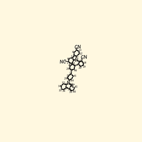 N#Cc1ccc2c(c1)c1cc(C#N)ccc1n2-c1c(C#N)cccc1-c1cccc(-c2ccc(-n3c4ccccc4c4ccccc43)cc2)c1